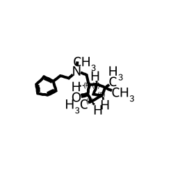 C[C@@H]1C(=O)[C@@H](CN(C)CCc2ccccc2)[C@H]2C[C@@H]1C2(C)C